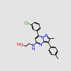 Cc1ccc(-c2c(C)nn3c(-c4cccc(Cl)c4)cc(NCCO)nc23)cc1